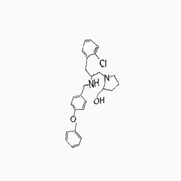 OCC1CCCN1CC(Cc1ccccc1Cl)NCc1ccc(OCc2ccccc2)cc1